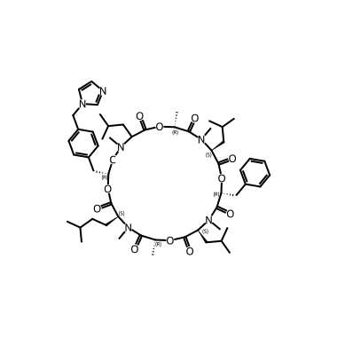 CC(C)CC[C@H]1C(=O)O[C@H](Cc2ccc(Cn3ccnc3)cc2)CN(C)C(CC(C)C)C(=O)O[C@H](C)C(=O)N(C)[C@@H](CC(C)C)C(=O)O[C@H](Cc2ccccc2)C(=O)N(C)[C@@H](CC(C)C)C(=O)O[C@H](C)C(=O)N1C